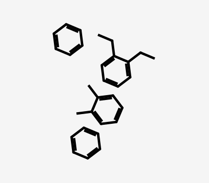 CCc1ccccc1CC.Cc1ccccc1C.c1ccccc1.c1ccccc1